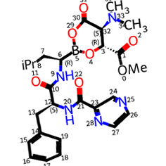 COC(=O)[C@@H]1OB([C@H](CC(C)C)NC(=O)[C@H](Cc2ccccc2)NC(=O)c2cnccn2)OC(=O)[C@H]1N(C)C